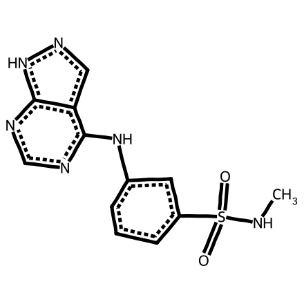 CNS(=O)(=O)c1cccc(Nc2ncnc3[nH]ncc23)c1